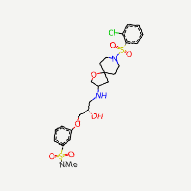 CNS(=O)(=O)c1cccc(OC[C@@H](O)CNC2COC3(CCN(S(=O)(=O)c4ccccc4Cl)CC3)C2)c1